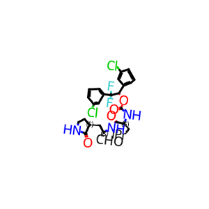 CC(C)C[C@H](NC(=O)OC(c1cccc(Cl)c1)C(F)(F)c1cccc(Cl)c1)C(=O)N[C@H](C=O)C[C@@H]1CCNC1=O